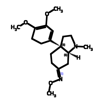 CO/N=C1\CC[C@@]2(C3=CC(OC)=C(OC)CC3)CCN(C)[C@H]2C1